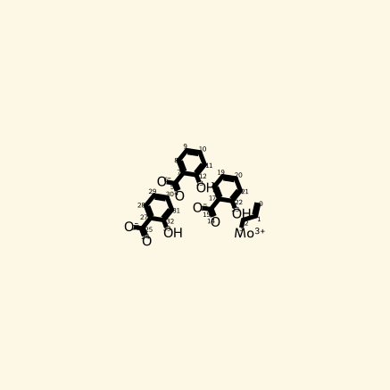 C=C[CH2][Mo+3].O=C([O-])c1ccccc1O.O=C([O-])c1ccccc1O.O=C([O-])c1ccccc1O